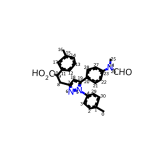 Cc1ccc(-n2nc(CC(C(=O)O)c3cccc(C)c3)cc2-c2ccc(N(C)C=O)cc2)cc1